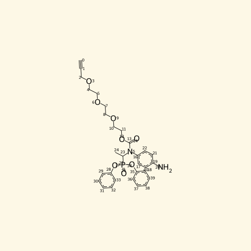 C#CCOCCOCCOCCOC(=O)N(c1ccc(N)cc1)C(C)P(=O)(Oc1ccccc1)Oc1ccccc1